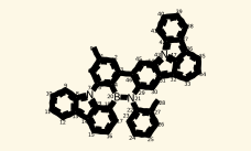 Cc1cc2c3c(c1)-n1c4ccccc4c4cccc(c41)B3N(c1ccccc1C)c1cc3c4cccc5c6ccccc6n(c3cc1-2)c54